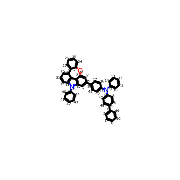 c1ccc(-c2ccc(N(c3ccccc3)c3ccc(-c4cc5oc6ccccc6c6cccc7c6c5c(c4)n7-c4ccccc4)cc3)cc2)cc1